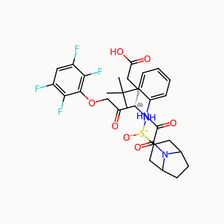 CC(C)(C)c1ccccc1NC(=O)C(=O)N1C2CCC1CC([S+]([O-])N[C@@H](CCC(=O)O)C(=O)COc1c(F)c(F)cc(F)c1F)C2